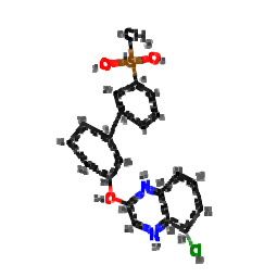 CS(=O)(=O)c1cccc(-c2cccc(Oc3cnc4c(Cl)cccc4n3)c2)c1